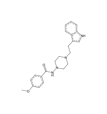 COc1ccc(C(=O)NN2CCN(CCc3c[nH]c4ccccc34)CC2)cc1